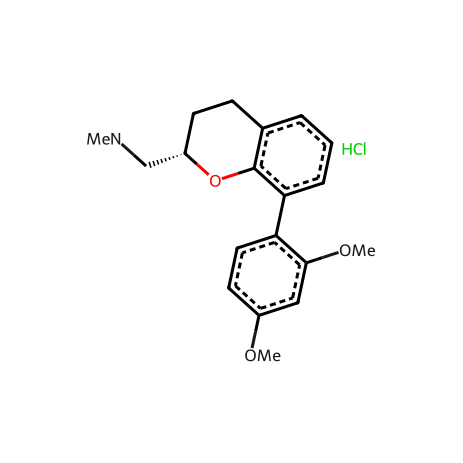 CNC[C@@H]1CCc2cccc(-c3ccc(OC)cc3OC)c2O1.Cl